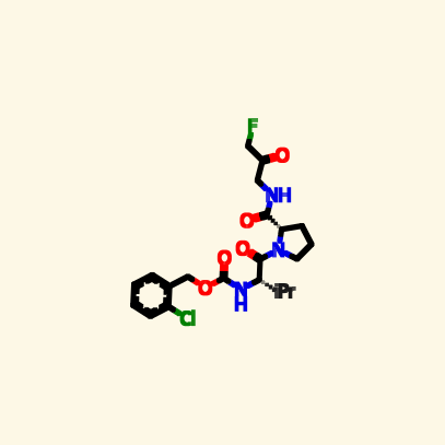 CC(C)[C@H](NC(=O)OCc1ccccc1Cl)C(=O)N1CCC[C@H]1C(=O)NCC(=O)CF